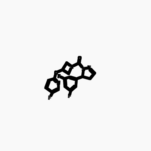 O=C(N1CC(Oc2ccc(F)cn2)C1)N1N=CCC1c1cc(F)cc(F)c1